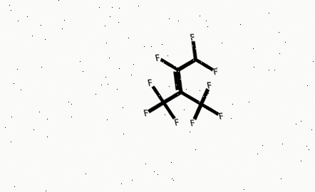 FC(=C(C(F)(F)F)C(F)(F)F)C(F)F